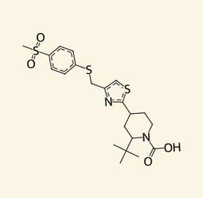 CC(C)(C)C1CC(c2nc(CSc3ccc(S(C)(=O)=O)cc3)cs2)CCN1C(=O)O